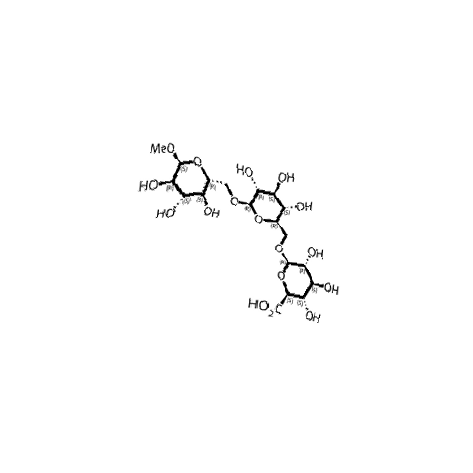 CO[C@H]1O[C@H](CO[C@@H]2O[C@H](CO[C@@H]3O[C@H](C(=O)O)[C@@H](O)[C@H](O)[C@H]3O)[C@@H](O)[C@H](O)[C@H]2O)[C@@H](O)[C@H](O)[C@H]1O